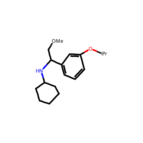 COCC(NC1CCCCC1)c1cccc(OC(C)C)c1